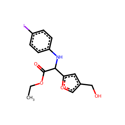 CCOC(=O)C(Nc1ccc(I)cc1)c1cc(CO)co1